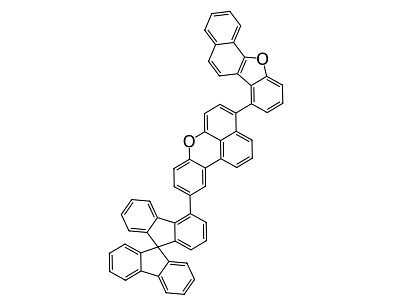 c1ccc2c(c1)-c1ccccc1C21c2ccccc2-c2c(-c3ccc4c(c3)-c3cccc5c(-c6cccc7oc8c9ccccc9ccc8c67)ccc(c35)O4)cccc21